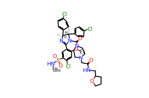 CCOc1cc(Cl)c(S(=O)(=O)NC(C)(C)C)cc1C1=N[C@@](C)(c2ccc(Cl)cc2)[C@@](C)(c2ccc(Cl)cc2)N1C(=O)N1CCN(CC(=O)NCC2CCCO2)CC1